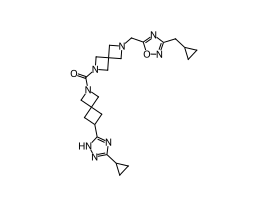 O=C(N1CC2(CC(c3nc(C4CC4)n[nH]3)C2)C1)N1CC2(CN(Cc3nc(CC4CC4)no3)C2)C1